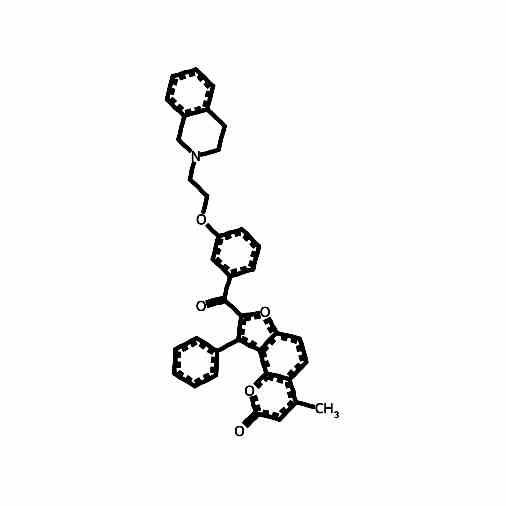 Cc1cc(=O)oc2c1ccc1oc(C(=O)c3cccc(OCCN4CCc5ccccc5C4)c3)c(-c3ccccc3)c12